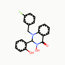 O=C1c2ccccc2N(Cc2cccc(F)c2)C(c2ccccc2O)N1O